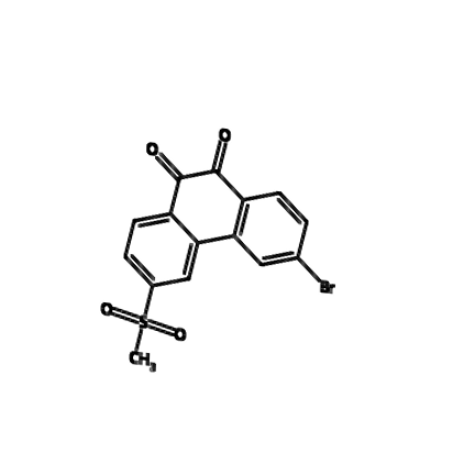 CS(=O)(=O)c1ccc2c(c1)-c1cc(Br)ccc1C(=O)C2=O